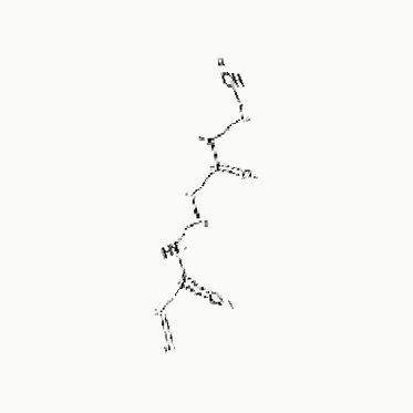 C=CC(=O)NCCC(=O)CCO